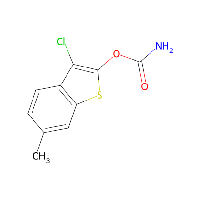 Cc1ccc2c(Cl)c(OC(N)=O)sc2c1